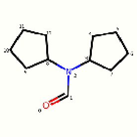 O=CN(C1CCCC1)C1CCCC1